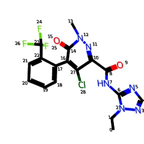 CCn1ncnc1NC(=O)c1nn(C)c(=O)c(-c2ccccc2C(F)(F)F)c1Cl